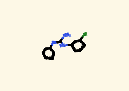 NC(=Nc1ccccc1)Nc1cccc(Cl)c1